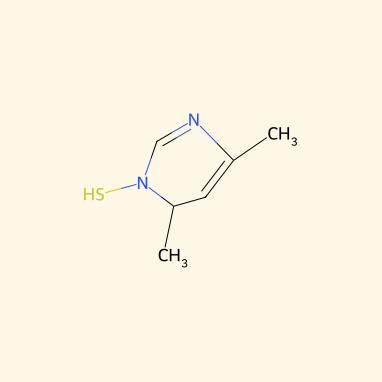 CC1=CC(C)N(S)C=N1